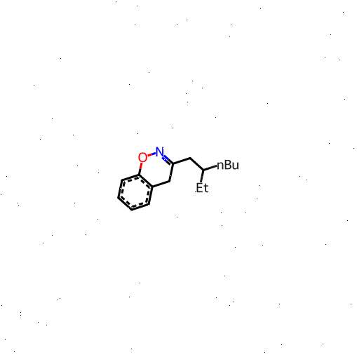 CCCCC(CC)CC1=NOc2ccccc2C1